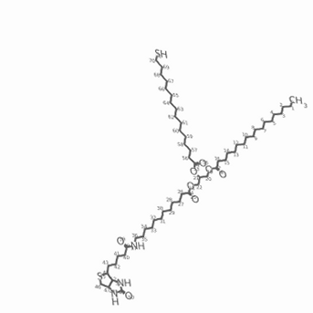 CCCCCCCCCCCCCCCCCC(=O)OCC(COC(=O)CCCCCCCCCCCNC(=O)CCCCC1SCC2NC(=O)NC21)OC(=O)CCCCCCCCCCCCCCCS